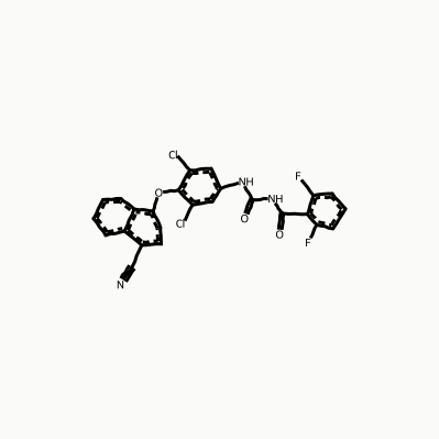 N#Cc1ccc(Oc2c(Cl)cc(NC(=O)NC(=O)c3c(F)cccc3F)cc2Cl)c2ccccc12